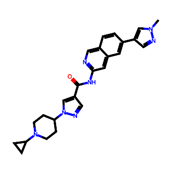 Cn1cc(-c2ccc3cnc(NC(=O)c4cnn(C5CCN(C6CC6)CC5)c4)cc3c2)cn1